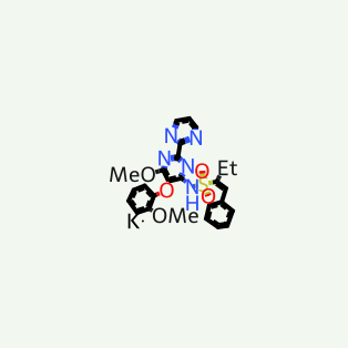 CCC(=Cc1ccccc1)S(=O)(=O)Nc1nc(-c2ncccn2)nc(OC)c1Oc1ccccc1OC.[K]